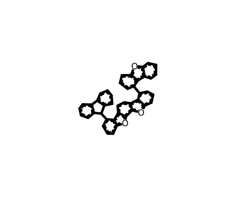 c1ccc2c(c1)-c1ccccc1C2c1cccc2oc3c(ccc4c3oc3cccc(-c5cccc6oc7ccccc7c56)c34)c12